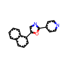 c1ccc2c(-c3cnc(-c4ccncc4)o3)cccc2c1